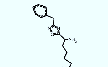 NCCCC[C@H](N)c1nc(Cc2ccccc2)no1